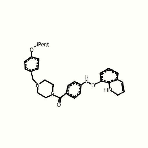 CCC[C@@H](C)Oc1ccc(CN2CCN(C(=O)c3ccc(NOc4cccc5c4NCC=C5)cc3)CC2)cc1